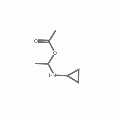 CC(=O)OC(C)NC1CC1